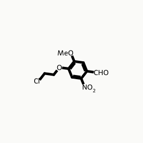 COc1cc(C=O)c([N+](=O)[O-])cc1OCCCl